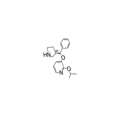 CC(C)Oc1ncccc1OC(c1ccccc1)[C@@H]1CCNC1